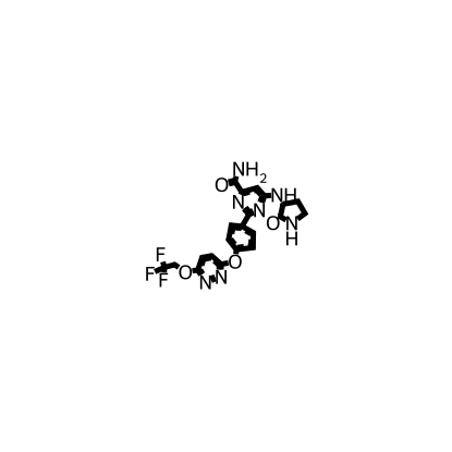 NC(=O)c1cc(NC2CCNC2=O)nc(-c2ccc(Oc3ccc(OCC(F)(F)F)nn3)cc2)n1